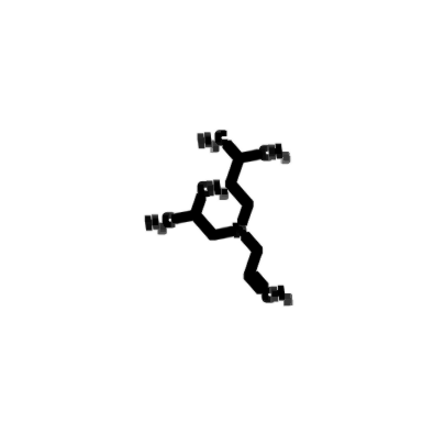 C=CCN(CCC(C)C)CC(C)C